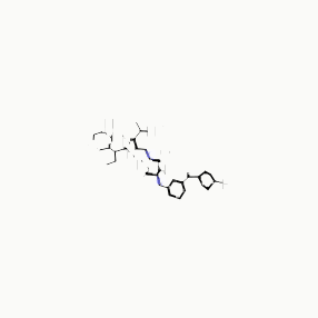 CCC(c1nc(/C=c2\[nH]c(=O)/c(=C/c3cccc(C(=O)c4ccc(F)cc4)c3)[nH]c2=O)c(C(C)C)[nH]1)C1COCCN1.Cl